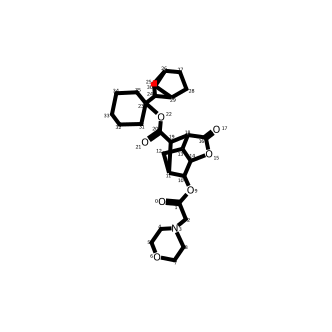 O=C(CN1CCOCC1)OC1C2CC3C1OC(=O)C3C2C(=O)OC1(C2CC3CCC2C3)CCCCC1